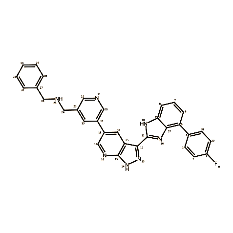 Fc1ccc(-c2cccc3[nH]c(-c4n[nH]c5ncc(-c6cncc(CNCc7ccccc7)c6)cc45)nc23)cc1